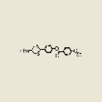 CCCCC1CSC(c2ccc(OC(=O)c3ccc(OCC)cc3)cc2)SC1